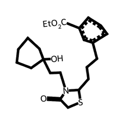 CCOC(=O)c1cccc(CCCC2SCC(=O)N2CCC2(O)CCCCC2)c1